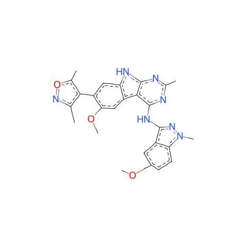 COc1ccc2c(c1)c(Nc1nc(C)nc3[nH]c4cc(-c5c(C)noc5C)c(OC)cc4c13)nn2C